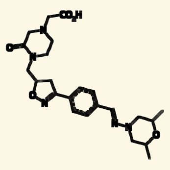 CC1CN(N=Cc2ccc(C3=NOC(CN4CCN(CC(=O)O)CC4=O)C3)cc2)CC(C)O1